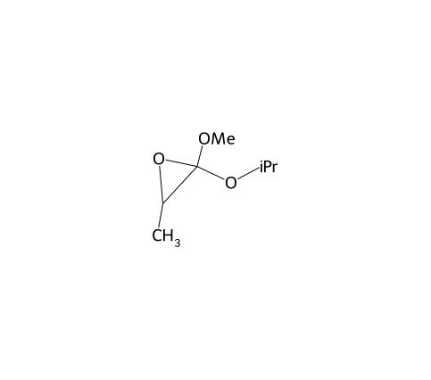 COC1(OC(C)C)OC1C